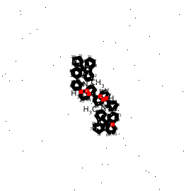 Cc1cc(-c2cc(C)c(N(c3ccc4c(c3)C(c3ccccc3)(c3ccccc3)c3ccccc3-4)c3ccccc3-c3ccccc3)c(C)c2)cc(C)c1N(c1ccc2c(c1)C(c1ccccc1)(c1ccccc1)c1ccccc1-2)c1ccccc1-c1ccccc1